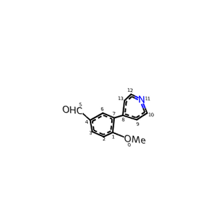 COc1ccc(C=O)cc1-c1ccncc1